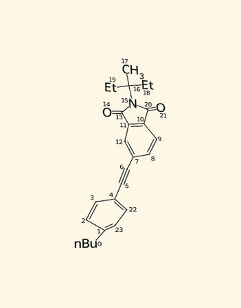 CCCCc1ccc(C#Cc2ccc3c(c2)C(=O)N(C(C)(CC)CC)C3=O)cc1